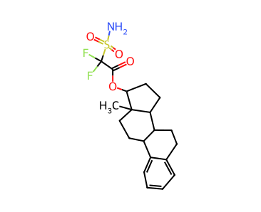 CC12CCC3c4ccccc4CCC3C1CCC2OC(=O)C(F)(F)S(N)(=O)=O